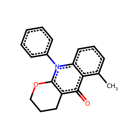 Cc1cccc2c1c(=O)c1c(n2-c2ccccc2)OCCC1